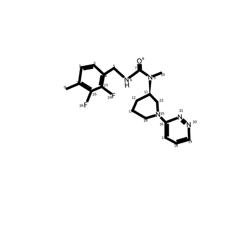 Cc1ccc(CNC(=O)N(C)[C@@H]2CCCN(c3cccnn3)C2)c(F)c1F